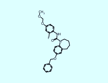 COCOc1ccc(NC(=O)N2CCCCc3cc(OCc4ccccc4)ccc32)c(F)c1